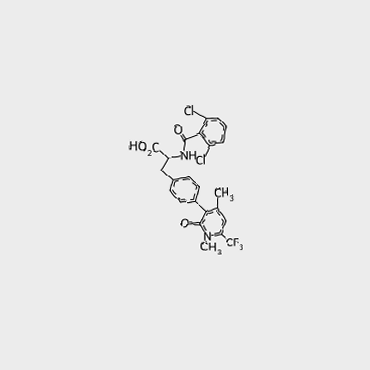 Cc1cc(C(F)(F)F)n(C)c(=O)c1-c1ccc(CC(NC(=O)c2c(Cl)cccc2Cl)C(=O)O)cc1